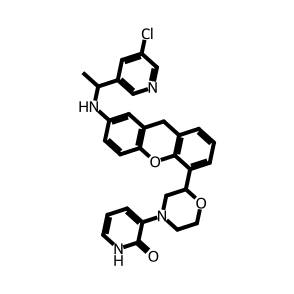 CC(Nc1ccc2c(c1)Cc1cccc(C3CN(c4ccc[nH]c4=O)CCO3)c1O2)c1cncc(Cl)c1